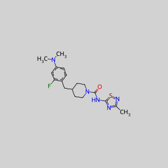 Cc1nsc(NC(=O)N2CCC(Cc3ccc(N(C)C)cc3F)CC2)n1